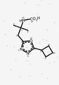 CC(C)(Cc1nnc(C2CCC2)o1)NC(=O)O